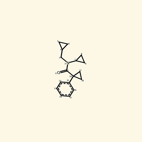 O=C(N(CC1CC1)C1CC1)C1(c2ccccc2)CC1